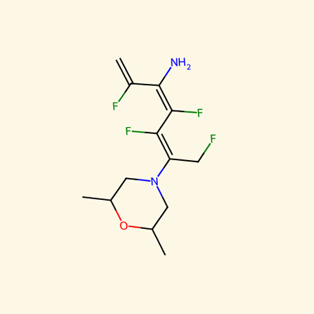 C=C(F)/C(N)=C(F)\C(F)=C(/CF)N1CC(C)OC(C)C1